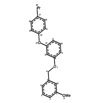 COc1cccc(COc2cccc(Oc3ccc(C(C)C)cc3)c2)c1